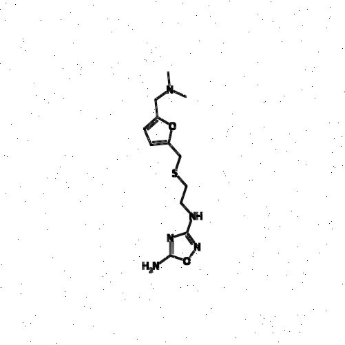 CN(C)Cc1ccc(CSCCNc2noc(N)n2)o1